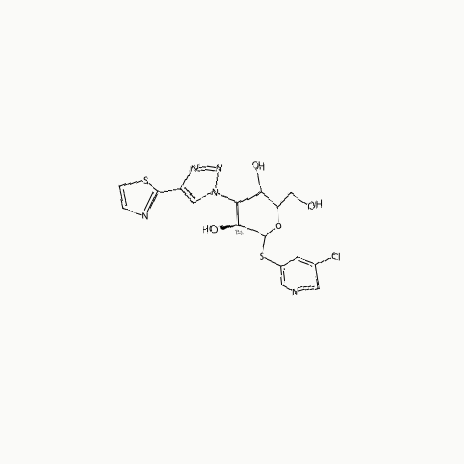 OCC1OC(Sc2cncc(Cl)c2)[C@@H](O)C(n2cc(-c3nccs3)nn2)C1O